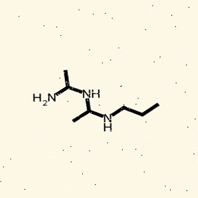 CC[CH]NC(C)NC(C)N